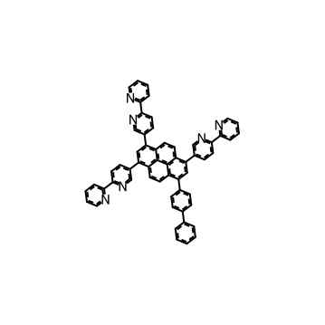 c1ccc(-c2ccc(-c3cc(-c4ccc(-c5ccccn5)nc4)c4ccc5c(-c6ccc(-c7ccccn7)nc6)cc(-c6ccc(-c7ccccn7)nc6)c6ccc3c4c65)cc2)cc1